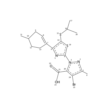 Cc1nn(-c2nc(C3=CCC(C)CC3)c(SC(C)C)s2)c(C(=O)O)c1Br